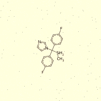 C[SiH2]C(c1ccc(F)cc1)(c1ccc(F)cc1)n1ccnc1